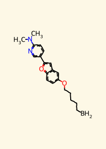 BCCCCCOc1ccc2oc(-c3ccc(N(C)C)nc3)cc2c1